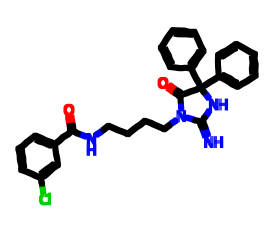 N=C1NC(c2ccccc2)(c2ccccc2)C(=O)N1CCCCNC(=O)c1cccc(Cl)c1